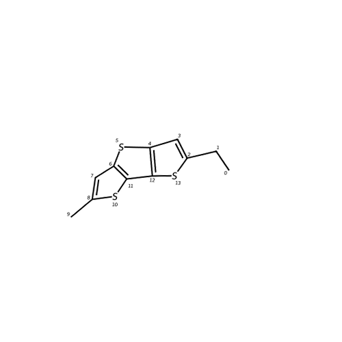 CCc1cc2sc3cc(C)sc3c2s1